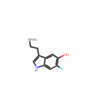 CC(=O)NCCc1c[nH]c2cc(F)c(O)cc12